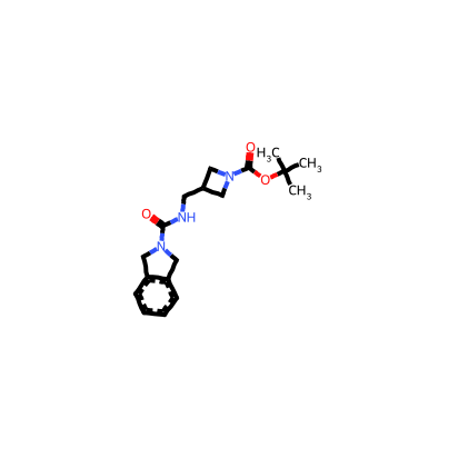 CC(C)(C)OC(=O)N1CC(CNC(=O)N2Cc3ccccc3C2)C1